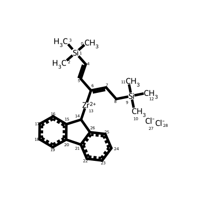 C[Si](C)(C)C=C[C](=CC[Si](C)(C)C)[Zr+2][CH]1c2ccccc2-c2ccccc21.[Cl-].[Cl-]